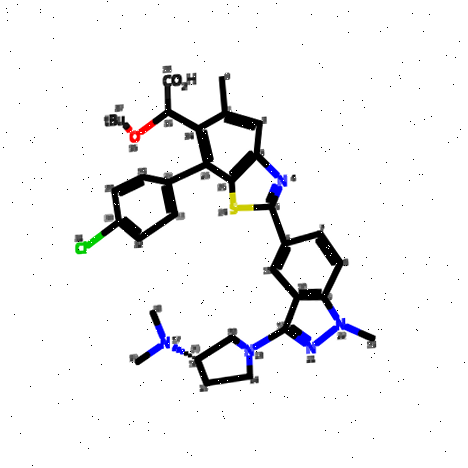 Cc1cc2nc(-c3ccc4c(c3)c(N3CC[C@H](N(C)C)C3)nn4C)sc2c(-c2ccc(Cl)cc2)c1C(OC(C)(C)C)C(=O)O